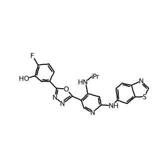 CC(C)Nc1cc(Nc2ccc3ncsc3c2)ncc1-c1nnc(-c2ccc(F)c(O)c2)o1